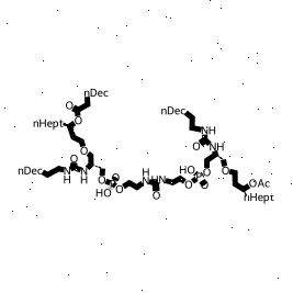 CCCCCCCCCCCCNC(=O)N[C@H](COCC[C@@H](CCCCCCC)OC(C)=O)COP(=O)(O)OCCNC(=O)NCCOP(=O)(O)OC[C@@H](COCC[C@@H](CCCCCCC)OC(=O)CCCCCCCCCCC)NC(=O)NCCCCCCCCCCCC